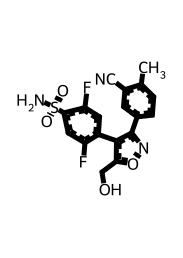 Cc1ccc(-c2noc(CO)c2-c2cc(F)c(S(N)(=O)=O)cc2F)cc1C#N